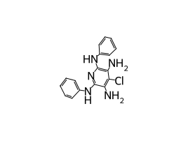 Nc1c(Nc2ccccc2)nc(Nc2ccccc2)c(N)c1Cl